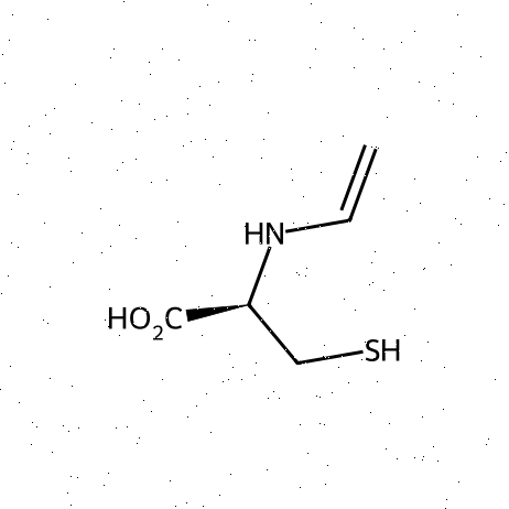 C=CN[C@@H](CS)C(=O)O